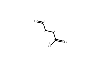 O=PCCC(=O)Cl